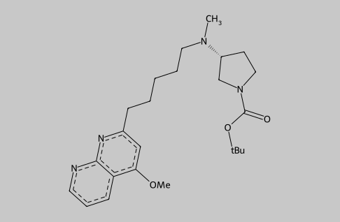 COc1cc(CCCCCN(C)[C@@H]2CCN(C(=O)OC(C)(C)C)C2)nc2ncccc12